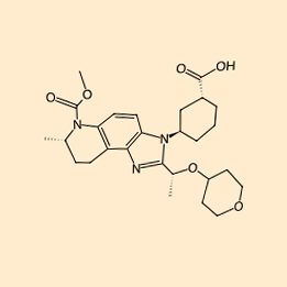 COC(=O)N1c2ccc3c(nc([C@@H](C)OC4CCOCC4)n3[C@@H]3CCC[C@@H](C(=O)O)C3)c2CC[C@@H]1C